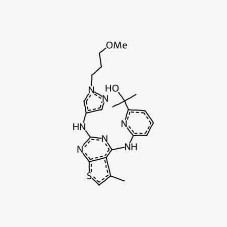 COCCCn1cc(Nc2nc(Nc3cccc(C(C)(C)O)n3)c3c(C)csc3n2)cn1